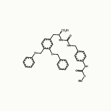 CCOC(=O)[C@H](Cc1ccc(COc2ccccc2)c(OCc2ccccc2)c1)NC(=O)NCc1ccc(NC(=O)OC(C)(C)C)cc1